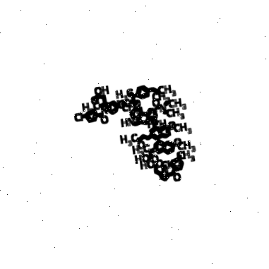 CC(C)Cc1ccc(C(C)C(=O)O)cc1.CCN(CC)C(=O)[C@@H]1C=C2c3cccc4[nH]cc(c34)C[C@H]2N(C)C1.COc1ccc2c(c1)c(CC(=O)O)c(C)n2C(=O)c1ccc(Cl)cc1.COc1ccc2cc(CCC(C)=O)ccc2c1.COc1ccc2cc([C@H](C)C(=O)O)ccc2c1.Cc1ccc(C(=O)c2ccc(CC(=O)O)n2C)cc1